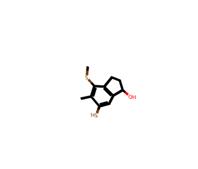 CSc1c(C)c(S)cc2c1CCC2O